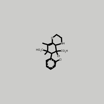 CCC1(C(=O)O)C2NCCOC2=C(C)C(C)(C(=O)O)C1c1ccccc1Cl